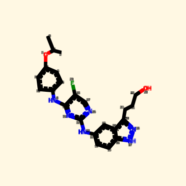 CC(C)Oc1ccc(Nc2nc(Nc3ccc4[nH]nc(CCCO)c4c3)ncc2F)cc1